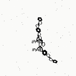 CC(C)NCC(COc1ccc(OCCOC2CCCC2)cc1)OC(=O)CC(=O)OC(CNC(C)C)COc1ccc(OCCOC2CCCC2)cc1